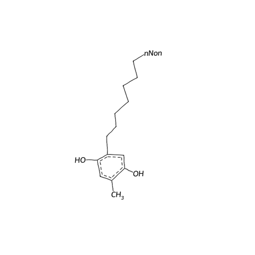 CCCCCCCCCCCCCCCCc1cc(O)c(C)cc1O